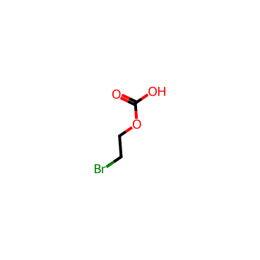 O=C(O)OCCBr